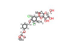 CO[C@H]1O[C@H](CO)[C@@H](O)[C@H](O)[C@H]1OC(=O)c1cc(Cl)c(OCc2cccc(OCC(=O)OC(C)(C)C)c2)c(Cl)c1C